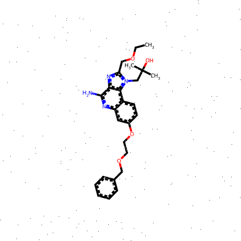 CCOCc1nc2c(N)nc3cc(OCCOCc4ccccc4)ccc3c2n1CC(C)(C)O